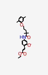 CCOC(=O)C=Cc1ccc(NC(=O)C(C)(C)CCCOc2cc(C)ccc2C)cc1OC